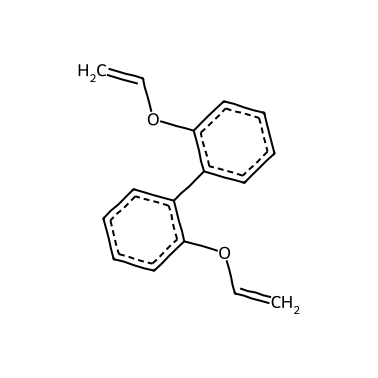 C=COc1ccccc1-c1ccccc1OC=C